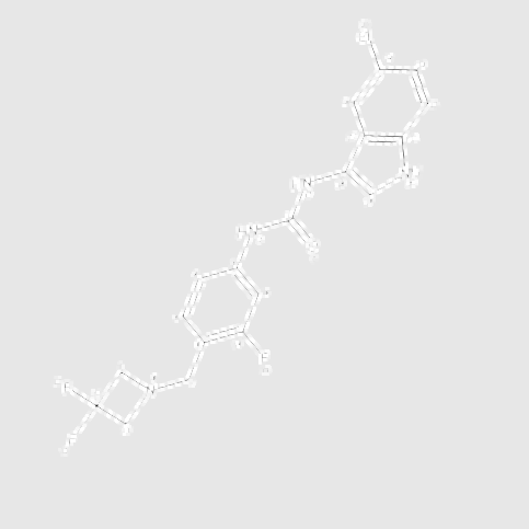 O=C(Nc1ccc(CN2CC(F)(F)C2)c(F)c1)Nc1c[nH]c2ccc(Cl)cc12